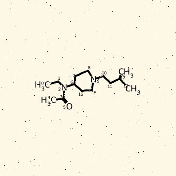 CCN(C(C)=O)C1CCN(CCC(C)C)CC1